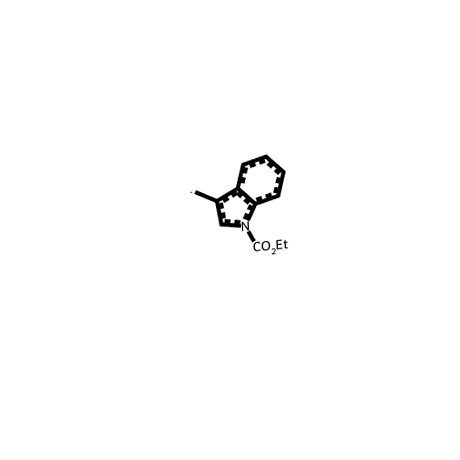 [CH2]c1cn(C(=O)OCC)c2ccccc12